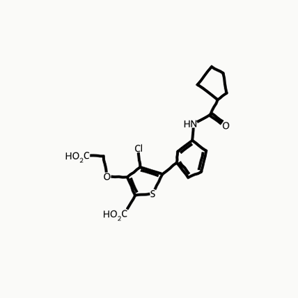 O=C(O)COc1c(C(=O)O)sc(-c2cccc(NC(=O)C3CCCC3)c2)c1Cl